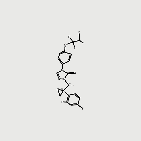 C[C@@H](n1ncn(-c2ccc(OC(F)(F)C(F)F)cc2)c1=O)[C@]1(c2ccc(F)cc2F)CO1